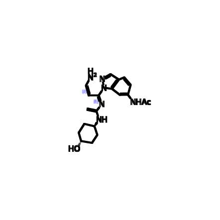 C=C(/N=C(\C=C/N)n1ncc2ccc(NC(C)=O)cc21)N[C@H]1CC[C@H](O)CC1